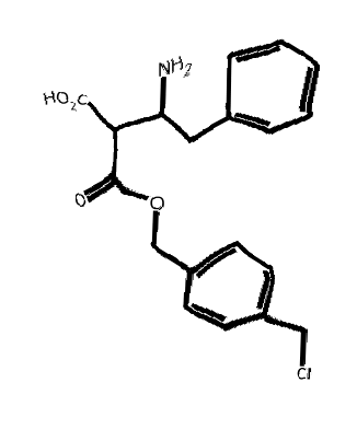 NC(Cc1ccccc1)C(C(=O)O)C(=O)OCc1ccc(CCl)cc1